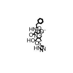 O=C(Cc1ccccc1)NC1C(=O)N2C(C(=O)O)=C(CSc3cnn[nH]3)C[S+]([O-])[C@@H]12